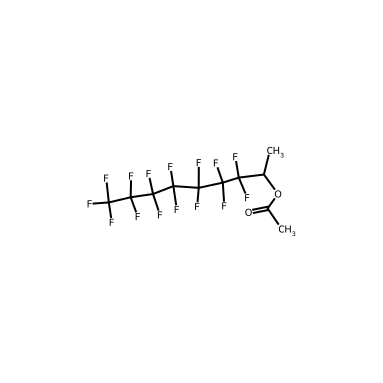 CC(=O)OC(C)C(F)(F)C(F)(F)C(F)(F)C(F)(F)C(F)(F)C(F)(F)C(F)(F)F